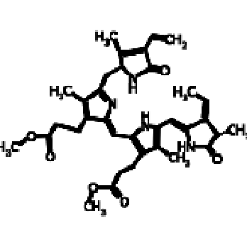 C=CC1=C(C)[C@H](CC2=N/C(=C\c3[nH]c(/C=C4\NC(=O)[C@@H](C)\C4=C\C)c(C)c3CCC(=O)OC)C(CCC(=O)OC)=C2C)NC1=O